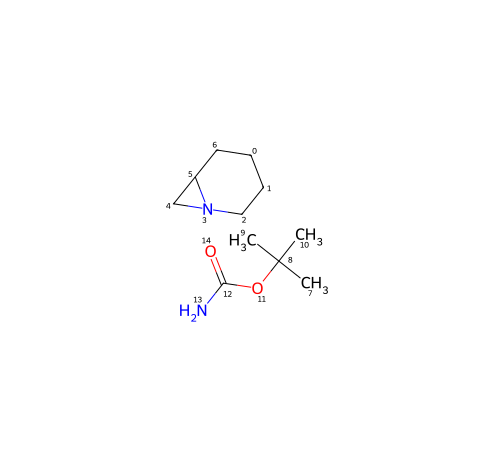 C1CCN2CC2C1.CC(C)(C)OC(N)=O